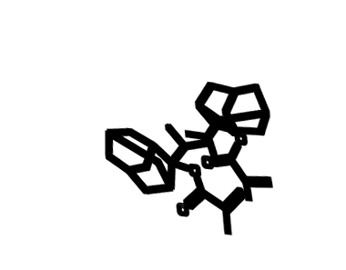 C=C(C)C(=O)OC1(C(C)CC2C3CC4CC(C3)C(OC(=O)C(=C)C)(C(C)C)C2C4)C2CC3CC(C2)CC1C3